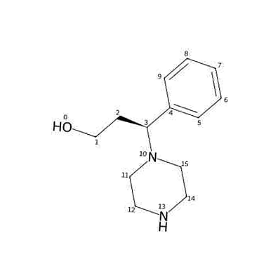 OCC[C@@H](c1ccccc1)N1CCNCC1